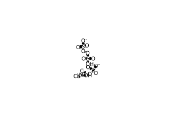 O=P([O-])([O-])[O-].O=S(=O)([O-])OOS(=O)(=O)O.OCl.[Ca+2].[K+].[Na+]